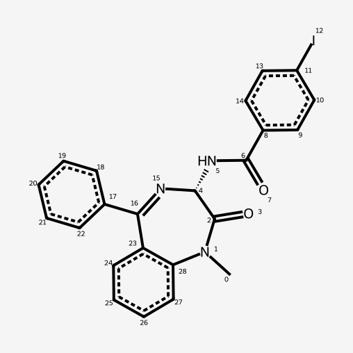 CN1C(=O)[C@@H](NC(=O)c2ccc(I)cc2)N=C(c2ccccc2)c2ccccc21